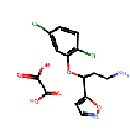 NCCC(Oc1cc(Cl)ccc1Cl)c1ccno1.O=C(O)C(=O)O